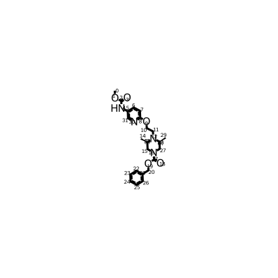 COC(=O)Nc1ccc(OCCN2[C@H](C)CN(C(=O)OCc3ccccc3)C[C@@H]2C)nc1